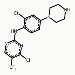 CCc1cc(N2CCNCC2)ccc1Nc1ncc(C(F)(F)F)c(Cl)n1